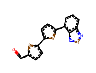 O=Cc1ccc(-c2ccc(-c3cccc4nsnc34)s2)s1